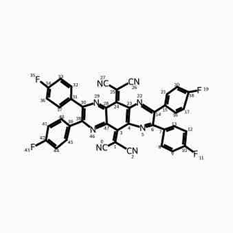 N#CC(C#N)=c1c2nc(-c3ccc(F)cc3)c(-c3ccc(F)cc3)nc2c(=C(C#N)C#N)c2nc(-c3ccc(F)cc3)c(-c3ccc(F)cc3)nc12